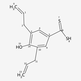 C=CCc1cc(C(=S)S)cc(CC=C)c1O